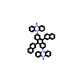 CN1C2=C(CCC=C2)N(c2ccc3c(-c4ccc5ccccc5c4)c4cc(N5c6ccccc6N(C)c6ccccc65)ccc4c(-c4ccc5ccccc5c4)c3c2)c2ccccc21